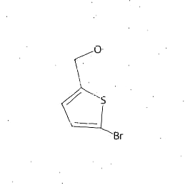 [O]Cc1ccc(Br)s1